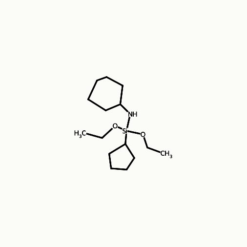 CCO[Si](NC1CCCCC1)(OCC)C1CCCC1